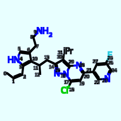 C/C=C\c1[nH]cc(CCN)c1C(C)Cc1nn2c(Cl)cc(-c3cncc(F)c3)nc2c1C(C)C